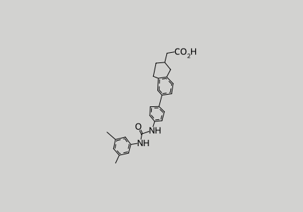 Cc1cc(C)cc(NC(=O)Nc2ccc(-c3ccc4c(c3)CCC(CC(=O)O)C4)cc2)c1